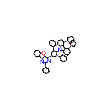 c1ccc(-c2nc(-c3cc(-c4ccccc4)c(-n4c5cccc(-c6ccccc6)c5c5c(-c6ccccc6)cccc54)c(-c4ccccc4)c3)c3oc4ccccc4c3n2)cc1